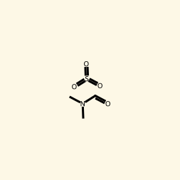 CN(C)C=O.O=S(=O)=O